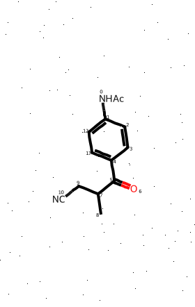 CC(=O)Nc1ccc(C(=O)C(C)CC#N)cc1